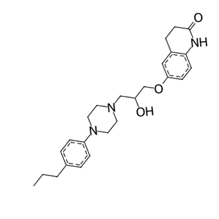 CCCc1ccc(N2CCN(CC(O)COc3ccc4c(c3)CCC(=O)N4)CC2)cc1